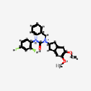 COc1cc2c(cc1OC)CC(N(Cc1ccccc1)C(=O)Nc1ccc(F)cc1F)C2